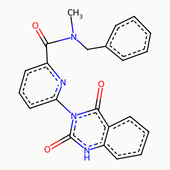 CN(Cc1ccccc1)C(=O)c1cccc(-n2c(=O)[nH]c3ccccc3c2=O)n1